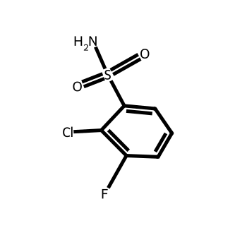 NS(=O)(=O)c1cccc(F)c1Cl